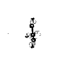 C=CC(=O)Oc1cc(C#Cc2ccc(OC(=O)C(=C)C)cc2)c(C(F)(F)F)cc1-c1ccc(OC(=O)C(=C)C)cc1